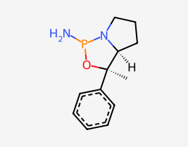 C[C@]1(c2ccccc2)OP(N)N2CCC[C@H]21